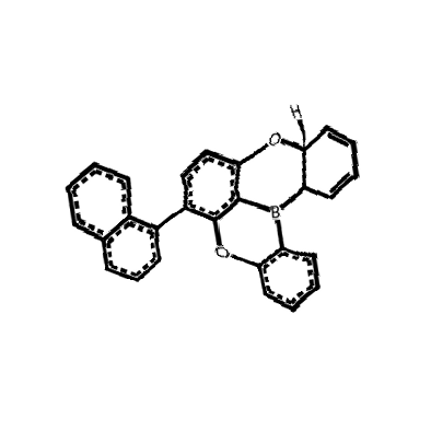 C1=CC2B3c4ccccc4Oc4c(-c5cccc6ccccc56)ccc(c43)O[C@@H]2C=C1